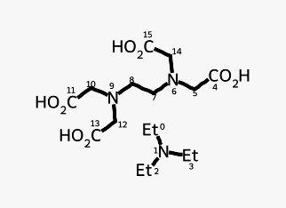 CCN(CC)CC.O=C(O)CN(CCN(CC(=O)O)CC(=O)O)CC(=O)O